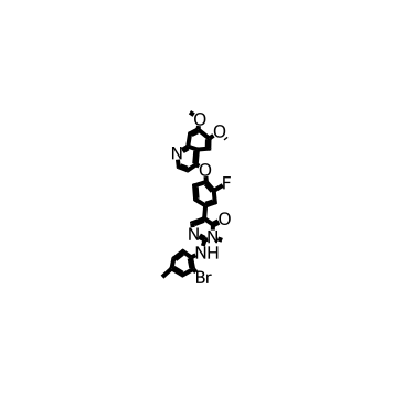 COc1cc2nccc(Oc3ccc(-c4cnc(Nc5ccc(C)cc5Br)n(C)c4=O)cc3F)c2cc1OC